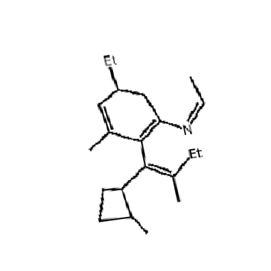 C/C=N\C1=C(C(=C(/C)CC)/C2CCC2C)C(C)=CC(CC)C1